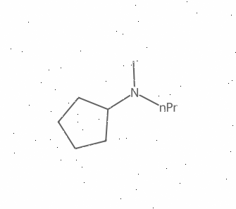 [CH2]N(CCC)C1CCCC1